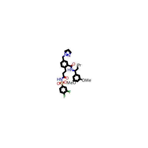 COc1cc(OC)cc(C(CC(C)C)NC(=O)c2cc(Cn3cccn3)ccc2CCC(=O)NS(=O)(=O)c2ccc(F)c(F)c2)c1